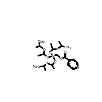 COC(C)OC(C)O[Si](COC(=O)c1ccncc1)(OC(C)OC(C)OC)OC(C)OC(C)OC